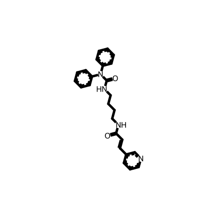 O=C(C=Cc1cccnc1)NCCCCNC(=O)N(c1ccccc1)c1ccccc1